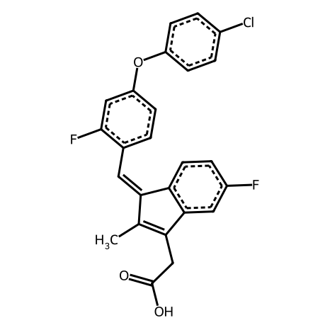 CC1=C(CC(=O)O)c2cc(F)ccc2/C1=C\c1ccc(Oc2ccc(Cl)cc2)cc1F